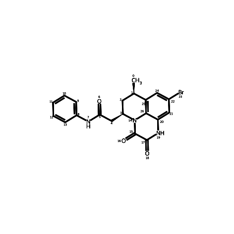 C[C@@H]1C[C@H](CC(=O)Nc2ccccc2)n2c(=O)c(=O)[nH]c3cc(Br)cc1c32